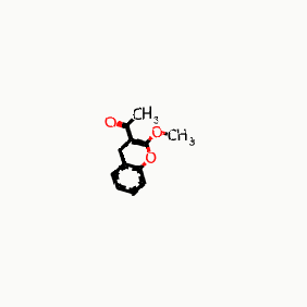 COC1=C(C(C)=O)Cc2ccccc2O1